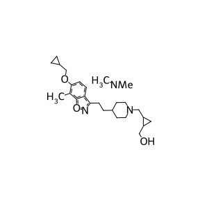 CNC.Cc1c(OCC2CC2)ccc2c(CCC3CCN(CC4CC4CO)CC3)noc12